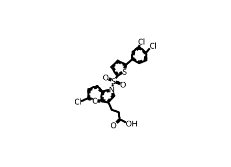 O=C(O)CCc1cn(S(=O)(=O)c2ccc(-c3ccc(Cl)c(Cl)c3)s2)c2ccc(Cl)cc12